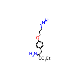 CCOC(=O)[C@@H](N)Cc1ccc(OCCCN=[N+]=[N-])cc1